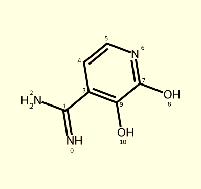 N=C(N)c1ccnc(O)c1O